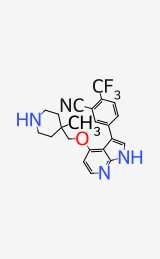 CC1(COc2ccnc3[nH]cc(-c4ccc(C(F)(F)F)c(C#N)c4)c23)CCNCC1